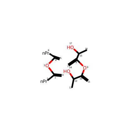 C=C(CCC)OC(=C)CCC.C=C(OC(=C)C(C)O)C(C)O